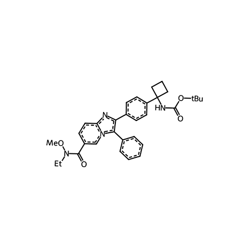 CCN(OC)C(=O)c1ccc2nc(-c3ccc(C4(NC(=O)OC(C)(C)C)CCC4)cc3)c(-c3ccccc3)n2c1